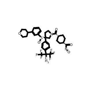 CC(c1ccc(C2([S+]([O-])c3cccc(C4CCOCC4)c3)CCN(C(=O)[C@H]3CC[C@H](C(=O)N=O)CC3)C2)cc1)(C(F)(F)F)C(F)(F)F